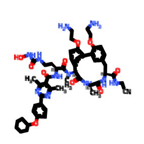 Cc1nc(-c2ccc(OC3CCCCC3)cc2)nc(C)c1C(=O)N[C@@H](CCNC(=O)NO)C(=O)N(C)[C@@H]1C(=O)N[C@@H](C)C(=O)N[C@H](C(=O)NCC#N)Cc2ccc(OCCN)c(c2)-c2cc1ccc2OCCN